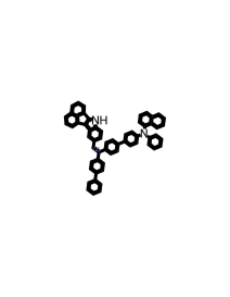 C(=C(\c1ccc(-c2ccccc2)cc1)c1ccc(-c2ccc(N(c3ccccc3)c3cccc4ccccc34)cc2)cc1)/c1ccc2[nH]c3c(c2c1)-c1cccc2cccc-3c12